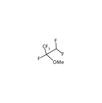 [CH2]OC(F)(C(F)F)C(F)(F)F